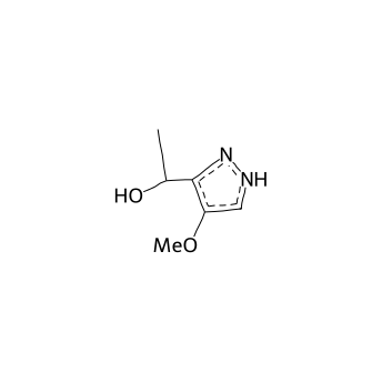 COc1c[nH]nc1C(C)O